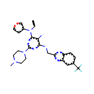 C=CN(c1ccoc1)c1nc(N2CCN(C)CC2)nc(NCc2nc3cc(C(F)(F)F)ccc3[nH]2)c1N